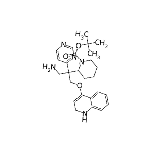 CC(C)(C)OC(=O)N1CCCCC1C(CN)(COC1=CCNc2ccccc21)c1ccncn1